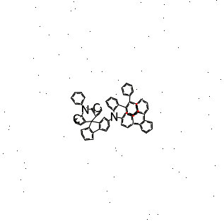 c1ccc(-c2ccccc2-c2ccccc2N(c2ccc3c(c2)C2(c4ccccc4-3)c3ccccc3N(c3ccccc3)c3ccccc32)c2ccc3c4ccccc4c4ccccc4c3c2)cc1